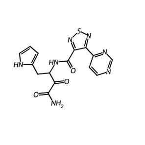 NC(=O)C(=O)C(Cc1ccc[nH]1)NC(=O)c1nsnc1-c1ccncn1